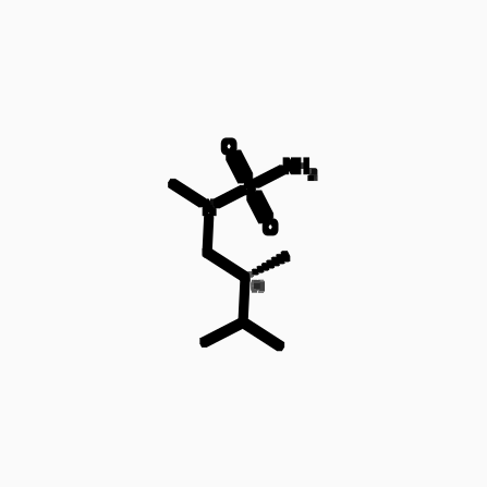 CC(C)[C@@H](C)CN(C)S(N)(=O)=O